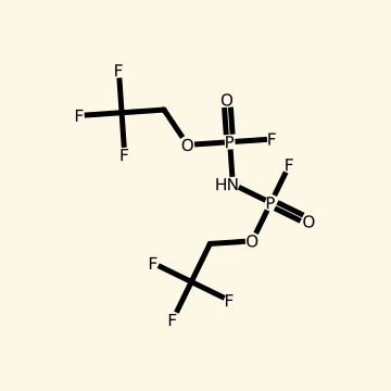 O=P(F)(NP(=O)(F)OCC(F)(F)F)OCC(F)(F)F